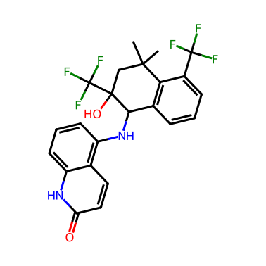 CC1(C)CC(O)(C(F)(F)F)C(Nc2cccc3[nH]c(=O)ccc23)c2cccc(C(F)(F)F)c21